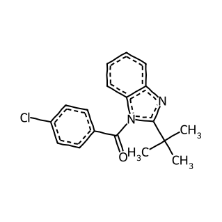 CC(C)(C)c1nc2ccccc2n1C(=O)c1ccc(Cl)cc1